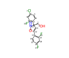 OC[C@@]1(c2ccc(Cl)cc2F)C=C(c2ccc(F)cc2F)ON1